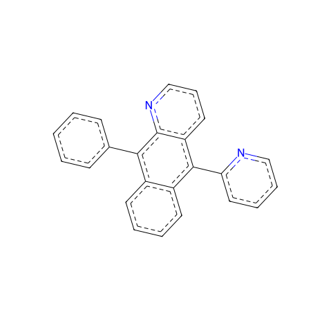 c1ccc(-c2c3ccccc3c(-c3ccccn3)c3cccnc23)cc1